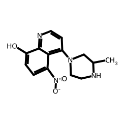 CC1CN(c2ccnc3c(O)ccc([N+](=O)[O-])c23)CCN1